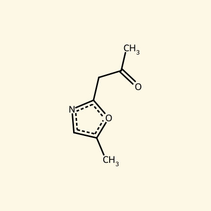 CC(=O)Cc1ncc(C)o1